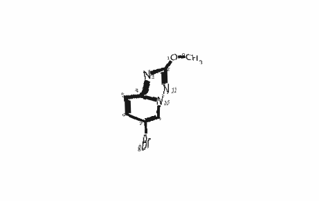 COc1nc2ccc(Br)cn2n1